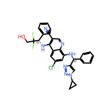 N#Cc1cnc2c(N[C@@H](c3ccccc3)c3cn(C4CC4)nn3)cc(Cl)cc2c1N[C@@H](c1ccccc1)C(F)(F)CO